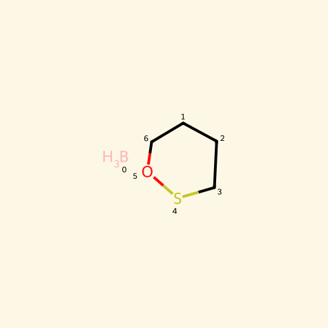 B.C1CCSOC1